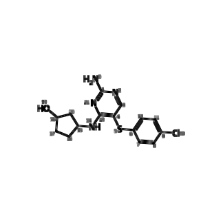 Nc1ncc(Sc2ccc(Cl)cc2)c(NC2CCC(O)C2)n1